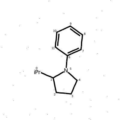 CC(C)C1CCCN1c1ccccc1